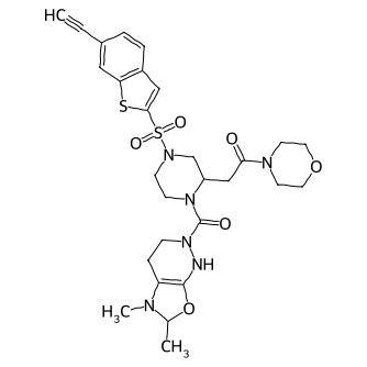 C#Cc1ccc2cc(S(=O)(=O)N3CCN(C(=O)N4CCC5=C(N4)OC(C)N5C)C(CC(=O)N4CCOCC4)C3)sc2c1